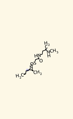 C=C/C=C1\C(=C)N1OSCC(=O)NCCC(=C)NC